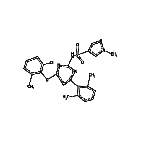 Cc1cccc(Cl)c1Oc1cc(-c2c(C)cccc2C)nc(NS(=O)(=O)c2cnn(C)c2)n1